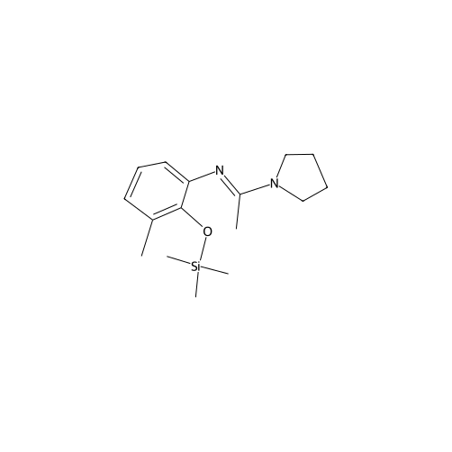 CC(=Nc1cccc(C)c1O[Si](C)(C)C)N1CCCC1